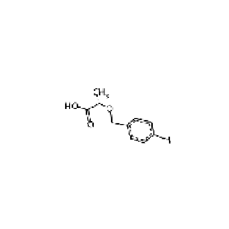 C[C@H](OCc1ccc(I)cc1)C(=O)O